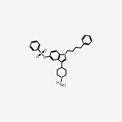 CN1CCC(c2cn(CCCCc3ccccc3)c3ccc(OS(=O)(=O)c4ccccc4)cc23)CC1.Cl